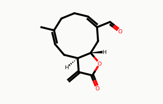 C=C1C(=O)O[C@H]2C/C(C=O)=C\CC/C(C)=C\C[C@H]12